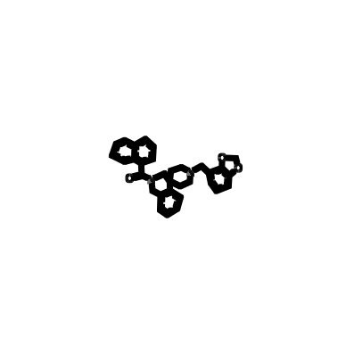 O=C(c1cccc2ccccc12)N1Cc2ccccc2C2(CCN(Cc3cccc4c3OCO4)CC2)C1